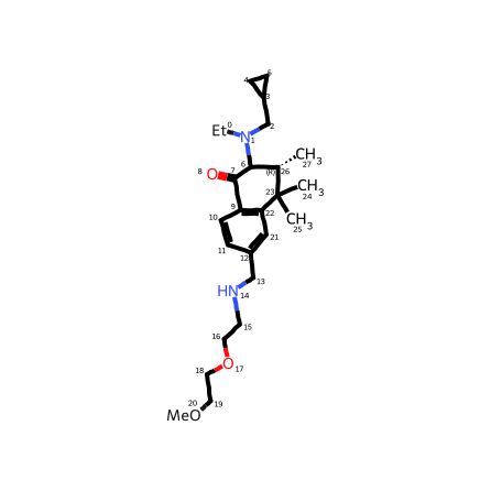 CCN(CC1CC1)C1C(=O)c2ccc(CNCCOCCOC)cc2C(C)(C)[C@H]1C